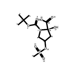 CC(C)(C)OC(=O)N1CC(OS(C)(=O)=O)C[C@@]1(O)C(=O)O